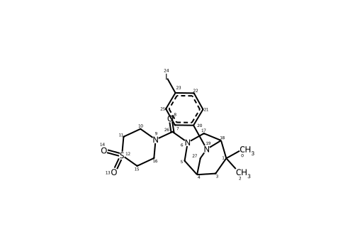 CC1(C)CC2CN(C(=O)N3CCS(=O)(=O)CC3)CC1N(c1ccc(I)cc1)C2